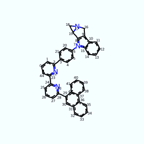 c1cc(-c2ccc(-n3c4c(c5ccccc53)CN3CC43)cc2)nc(-c2cccc(-c3cc4ccccc4c4ccccc34)n2)c1